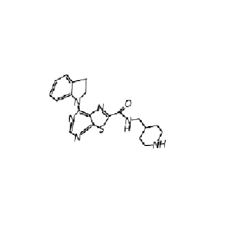 O=C(NCC1CCNCC1)c1nc2c(N3CCc4ccccc43)ncnc2s1